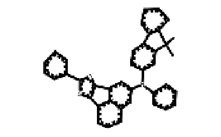 CC1(C)c2ccccc2-c2ccc(N(c3ccccc3)c3cc4c5c(cccc5c3)-c3sc(-c5ccccc5)nc3-4)cc21